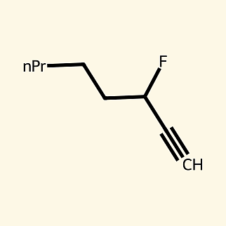 C#CC(F)CCCC[CH2]